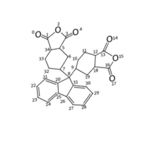 O=C1OC(=O)C2CC(C3(C4CCC5C(=O)OC(=O)C5C4)c4ccccc4-c4ccccc43)CCC12